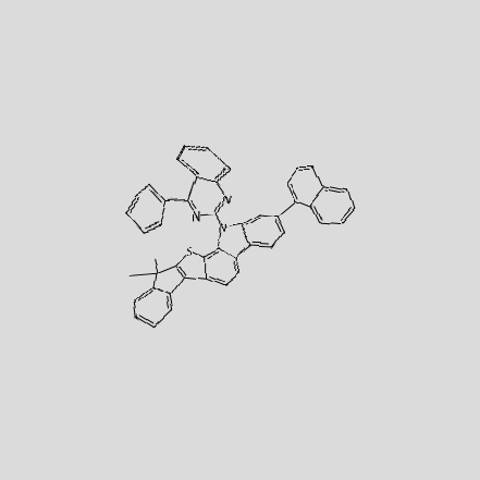 CC1(C)c2ccccc2-c2c1sc1c2ccc2c3ccc(-c4cccc5ccccc45)cc3n(-c3nc(-c4ccccc4)c4ccccc4n3)c21